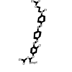 CCCCCCCC(OC(=O)CC)Oc1ccc(/N=N/c2ccc(/N=N/c3ccc(N(CC)CCOC(=O)CC)cc3)cc2)c(Cl)c1